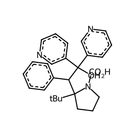 CC(C)(C)C1(C(c2ccccc2)C(O)(c2cccnc2)c2cccnc2)CCCN1C(=O)O